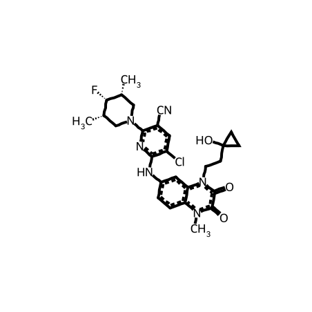 C[C@@H]1CN(c2nc(Nc3ccc4c(c3)n(CCC3(O)CC3)c(=O)c(=O)n4C)c(Cl)cc2C#N)C[C@H](C)[C@@H]1F